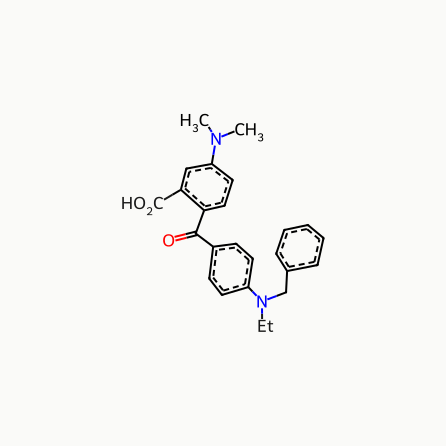 CCN(Cc1ccccc1)c1ccc(C(=O)c2ccc(N(C)C)cc2C(=O)O)cc1